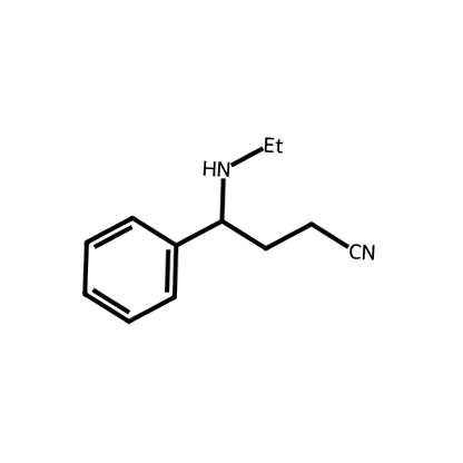 CCNC(CCC#N)c1ccccc1